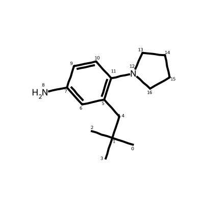 CC(C)(C)[CH]c1cc(N)ccc1N1CCCC1